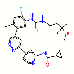 COC(C)(C)CCNC(=O)Nc1cc(-c2cnnc(-c3ccnc(NC(=O)C4CC4)c3)c2)c(C)cc1F